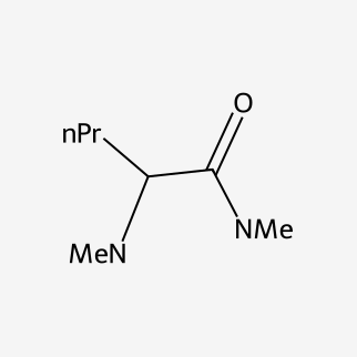 CCCC(NC)C(=O)NC